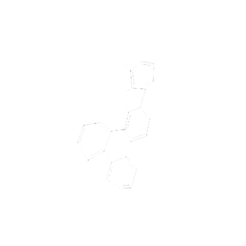 Clc1cccc2c1sc1c(-c3ccccc3-c3ccccc3)cccc12